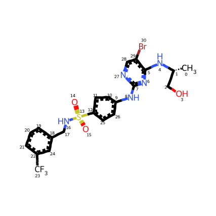 C[C@H](CO)Nc1nc(Nc2ccc(S(=O)(=O)NCc3cccc(C(F)(F)F)c3)cc2)ncc1Br